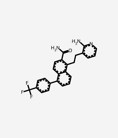 NC(=O)c1ccc2c(-c3ccc(C(F)(F)F)cc3)cccc2c1CCc1cccnc1N